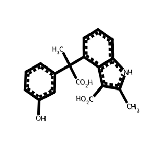 Cc1[nH]c2cccc(C(C)(C(=O)O)c3cccc(O)c3)c2c1C(=O)O